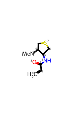 C=CC(=O)NC1CSCC1NC